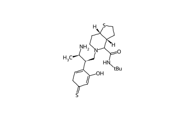 C[C@@H](N)[C@@H](CN1CC[C@@H]2SCC[C@@H]2C1C(=O)NC(C)(C)C)C1=CCC(=S)C=C1O